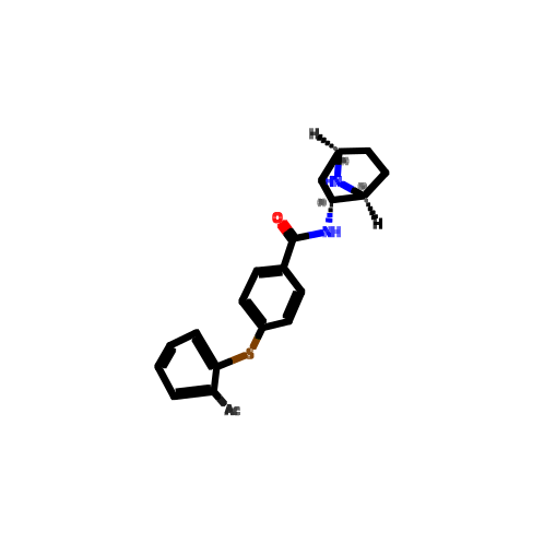 CC(=O)c1ccccc1Sc1ccc(C(=O)N[C@@H]2C[C@H]3CC[C@@H]2N3)cc1